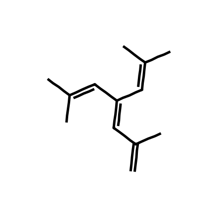 C=C(C)C=C(C=C(C)C)C=C(C)C